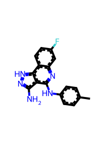 Cc1ccc(Nc2nc3cc(F)ccc3c3[nH]nc(N)c23)cc1